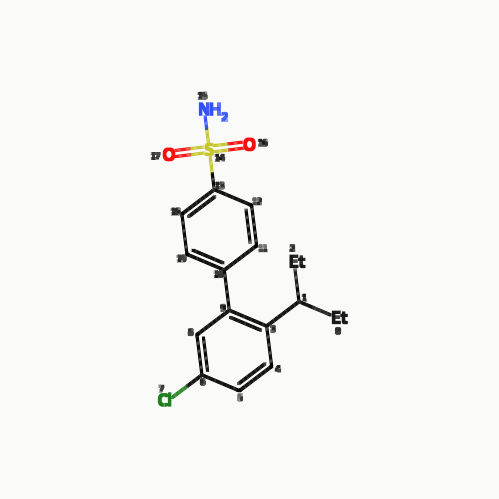 CCC(CC)c1ccc(Cl)cc1-c1ccc(S(N)(=O)=O)cc1